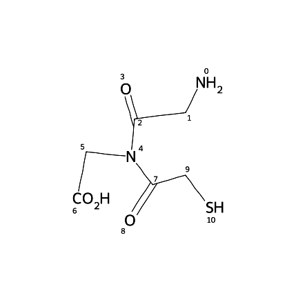 NCC(=O)N(CC(=O)O)C(=O)CS